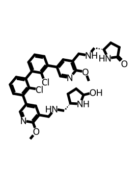 COc1ncc(-c2cccc(-c3cccc(-c4cnc(OC)c(CNC[C@@H]5CCC(O)N5)c4)c3Cl)c2Cl)cc1CNC[C@@H]1CCC(=O)N1